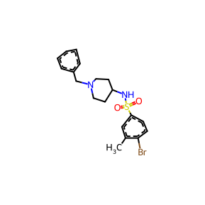 Cc1cc(S(=O)(=O)NC2CCN(Cc3ccccc3)CC2)ccc1Br